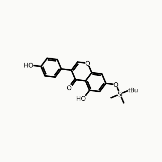 CC(C)(C)[Si](C)(C)Oc1cc(O)c2c(=O)c(-c3ccc(O)cc3)coc2c1